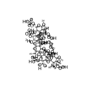 [2H]O[C@H]1C(OS(=O)(=O)O)[C@H](O[C@H]2C(OC)C(N([2H])SOOO)[C@@H](OC)O[C@H]2COS(=O)(=O)O)OC(C(=O)O)[C@@]1(C)O[C@H]1OC(C(C)OS(=O)(=O)O)[C@@](C)(O[C@@H]2O[C@@H](C(=O)O)[C@@H](O[C@H]3O[C@@H](COSOOO)[C@@H](OC)C(C)(OC)C3N(C)SOOO)C(C)(O[2H])C2OC)[C@H](OSOOO)C1N([2H])SOOO